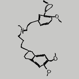 COc1ccc(CCN(C)CCCC2CCc3cc(OC)c(OC)cc3C2)cc1OC